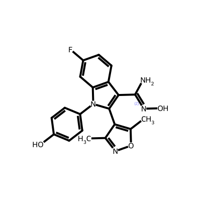 Cc1noc(C)c1-c1c(/C(N)=N/O)c2ccc(F)cc2n1-c1ccc(O)cc1